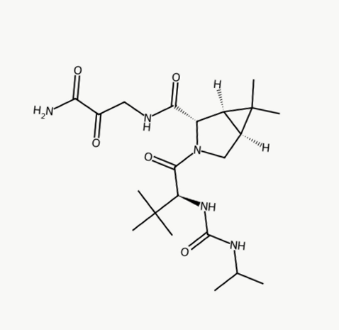 CC(C)NC(=O)N[C@H](C(=O)N1C[C@H]2[C@@H]([C@H]1C(=O)NCC(=O)C(N)=O)C2(C)C)C(C)(C)C